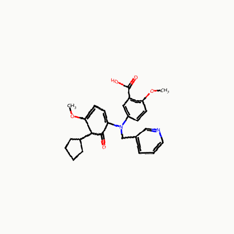 COC1=CC=C(N(Cc2cccnc2)c2ccc(OC)c(C(=O)O)c2)C(=O)C1C1CCCC1